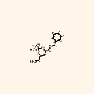 CC(C)(O)OC(CCCO)COCc1ccccc1